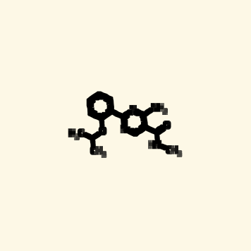 CNC(=O)c1cnc(-c2ccccc2OC(C)C)nc1N